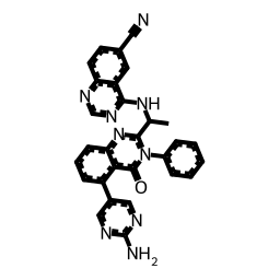 CC(Nc1ncnc2ccc(C#N)cc12)c1nc2cccc(-c3cnc(N)nc3)c2c(=O)n1-c1ccccc1